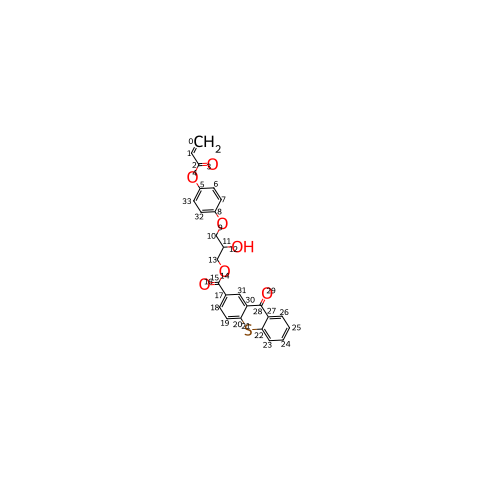 C=CC(=O)Oc1ccc(OCC(O)COC(=O)c2ccc3sc4ccccc4c(=O)c3c2)cc1